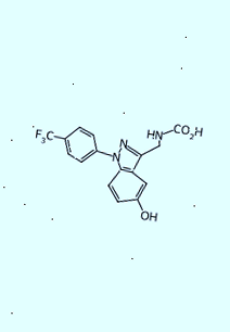 O=C(O)NCc1nn(-c2ccc(C(F)(F)F)cc2)c2ccc(O)cc12